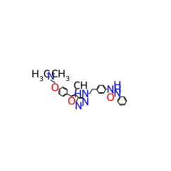 C#Cc1c(-c2ccc(OCCN(C)C)cc2)oc2ncnc(NCCc3ccc(NC(=O)Nc4ccccc4)cc3)c12